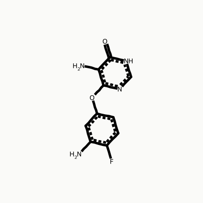 Nc1cc(Oc2nc[nH]c(=O)c2N)ccc1F